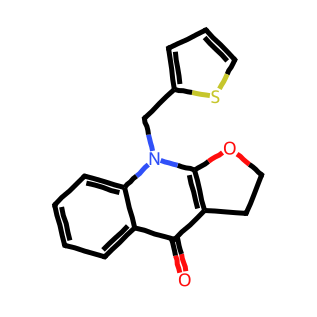 O=c1c2c(n(Cc3cccs3)c3ccccc13)OCC2